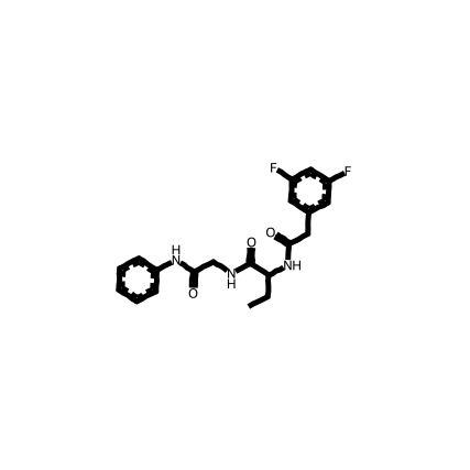 CCC(NC(=O)Cc1cc(F)cc(F)c1)C(=O)NCC(=O)Nc1ccccc1